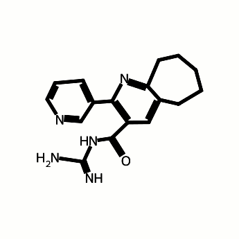 N=C(N)NC(=O)c1cc2c(nc1-c1cccnc1)CCCCC2